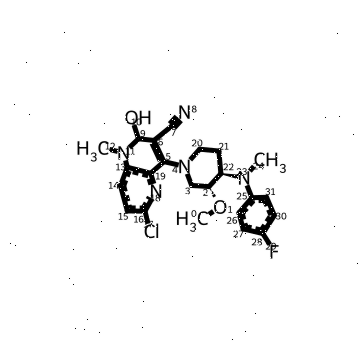 CO[C@@H]1CN(C2=C(C#N)C(O)N(C)c3ccc(Cl)nc32)CC[C@H]1N(C)c1ccc(F)cc1